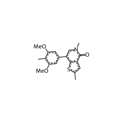 COc1cc(-c2cn(C)c(=O)c3cc(C)sc23)cc(OC)c1C